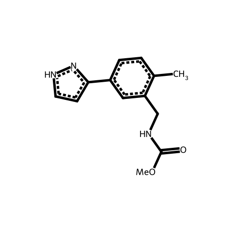 COC(=O)NCc1cc(-c2cc[nH]n2)ccc1C